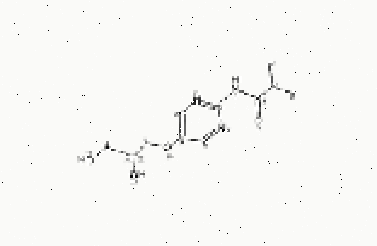 CC(C)C(=O)Nc1ncc(OC[C@H](O)CO)cn1